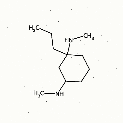 CCCC1(NC)CCCC(NC)C1